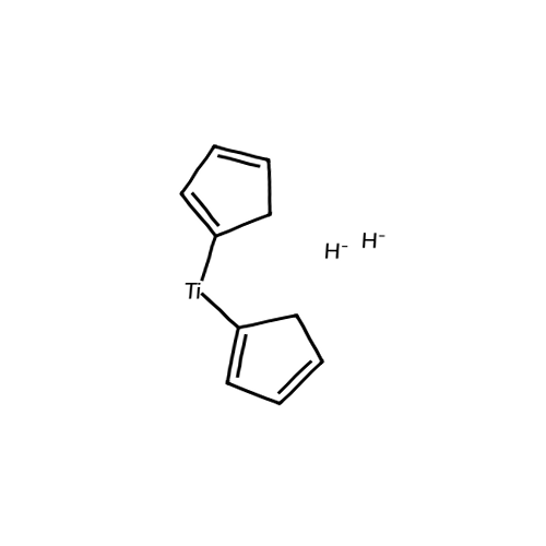 C1=CC[C]([Ti][C]2=CC=CC2)=C1.[H-].[H-]